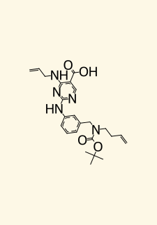 C=CCCN(Cc1cccc(Nc2ncc(C(=O)O)c(NCC=C)n2)c1)C(=O)OC(C)(C)C